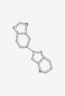 c1cnc2cc(-c3ccc4scnc4c3)sc2c1